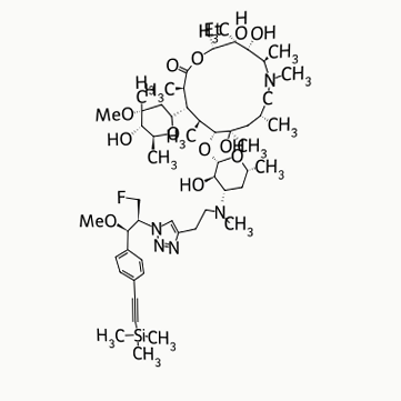 CC[C@H]1OC(=O)[C@H](C)[C@@H](C2C[C@@](C)(OC)[C@@H](O)[C@H](C)O2)[C@H](C)[C@@H](O[C@@H]2O[C@H](C)C[C@H](N(C)CCc3cn([C@H](CF)[C@H](OC)c4ccc(C#C[Si](C)(C)C)cc4)nn3)[C@H]2O)[C@](C)(O)C[C@@H](C)CN(C)[C@H](C)[C@@H](O)[C@]1(C)O